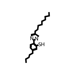 CCCCCCCCCc1cnc(-c2ccc(CCCCC)cc2S)nc1